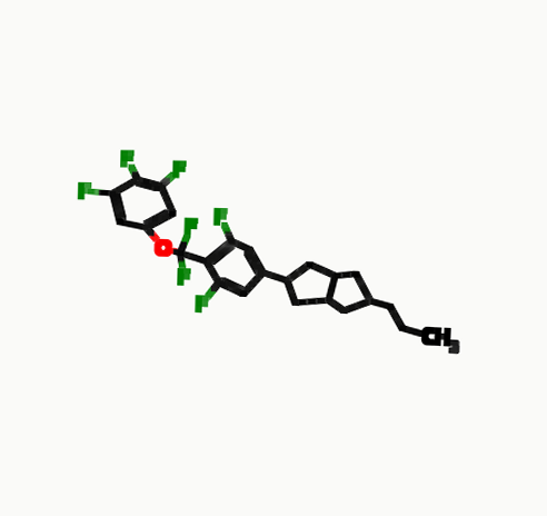 CCCC1CC2CC(c3cc(F)c(C(F)(F)Oc4cc(F)c(F)c(F)c4)c(F)c3)CC2C1